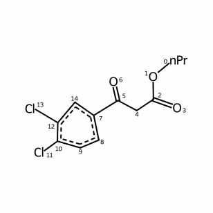 CCCOC(=O)CC(=O)c1ccc(Cl)c(Cl)c1